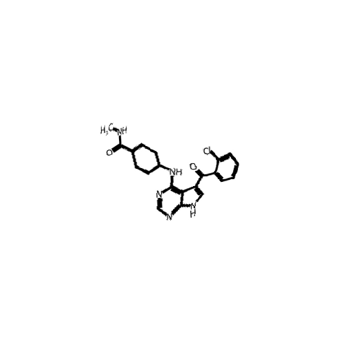 CNC(=O)C1CCC(Nc2ncnc3[nH]cc(C(=O)c4ccccc4Cl)c23)CC1